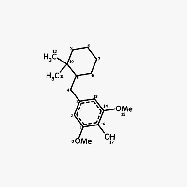 COc1cc(CC2CCCCC2(C)C)cc(OC)c1O